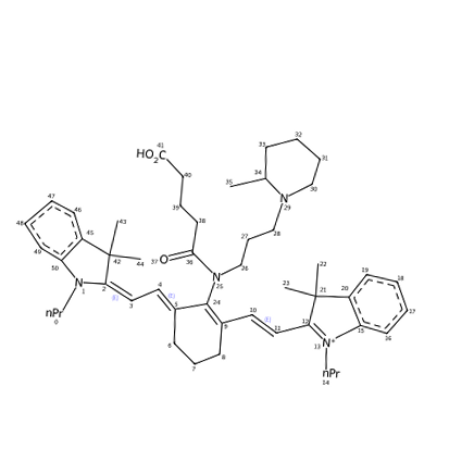 CCCN1/C(=C/C=C2\CCCC(/C=C/C3=[N+](CCC)c4ccccc4C3(C)C)=C2N(CCCN2CCCCC2C)C(=O)CCCC(=O)O)C(C)(C)c2ccccc21